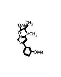 CC=C(C(=O)OC)N(C)c1cc(-c2cccc(OC)c2)ncn1